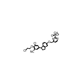 CS(=O)(=O)c1nccc(COc2ccc3c(c2)CCC3c2cc(Cl)c(OCCCl)c(C#N)c2)n1